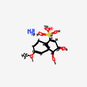 COc1ccc2c(c1)C(=O)C(=O)C=C2S(=O)(=O)O.N